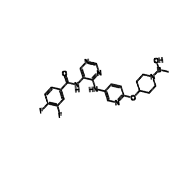 CB(O)N1CCC(Oc2ccc(Nc3ncncc3NC(=O)c3ccc(F)c(F)c3)cn2)CC1